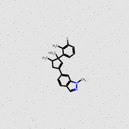 Cc1c(F)cccc1C1(C(=O)O)C=C(c2ccc3cnn(C)c3c2)CC1C